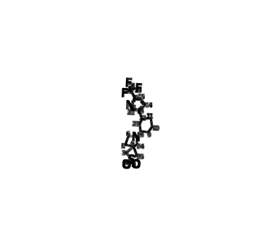 O=S1(=O)CC2(CCN([C@H]3CCC[C@H](c4ccc(C(F)(F)F)nc4)C3)C2)C1